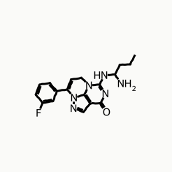 CCCC(N)Nc1nc(=O)c2cnn3c2n1CC=C3c1cccc(F)c1